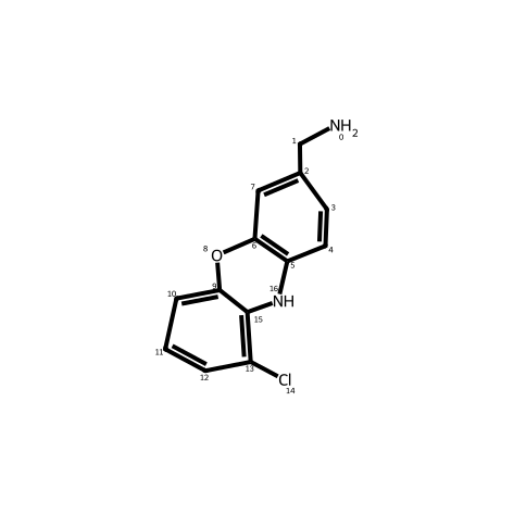 NCc1ccc2c(c1)Oc1cccc(Cl)c1N2